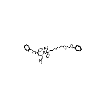 CN(C)CC(CC(=O)OCc1ccccc1)NC(=O)CCCCCCCOCCOc1ccccc1